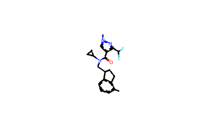 Cc1cccc2c1CCC2CN(C(=O)c1cn(C)nc1C(F)F)C1CC1